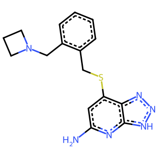 Nc1cc(SCc2ccccc2CN2CCC2)c2nn[nH]c2n1